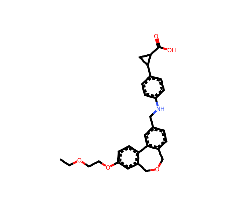 CCOCCOc1ccc2c(c1)COCc1ccc(CNc3ccc(C4CC4C(=O)O)cc3)cc1-2